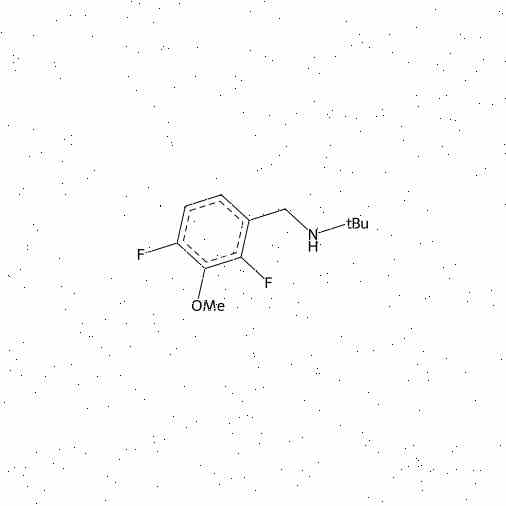 COc1c(F)ccc(CNC(C)(C)C)c1F